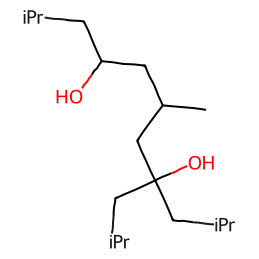 CC(C)CC(O)CC(C)CC(O)(CC(C)C)CC(C)C